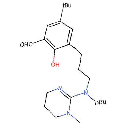 CCCCN(CCCc1cc(C(C)(C)C)cc(C=O)c1O)C1=NCCCN1C